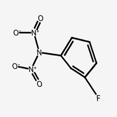 O=[N+]([O-])N(c1cccc(F)c1)[N+](=O)[O-]